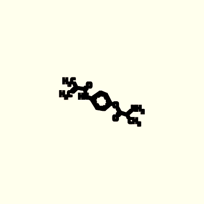 C=C(C)C(=O)Nc1ccc(OC(=O)[C@H](C)N)cc1